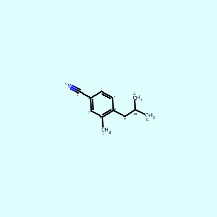 Cc1cc(C#N)ccc1CC(C)C